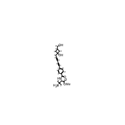 COC(=O)[C@@H](NC(=O)c1ccc(C#CC#CCC2(O)CC(CO)C2)cc1)C(C)(C)N